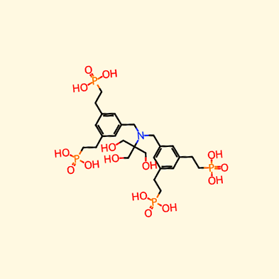 O=P(O)(O)CCc1cc(CCP(=O)(O)O)cc(CN(Cc2cc(CCP(=O)(O)O)cc(CCP(=O)(O)O)c2)C(CO)(CO)CO)c1